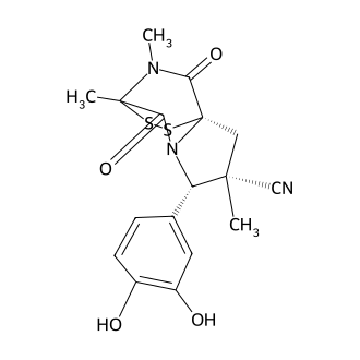 CN1C(=O)[C@@]23C[C@](C)(C#N)[C@H](c4ccc(O)c(O)c4)N2C(=O)C1(C)SS3